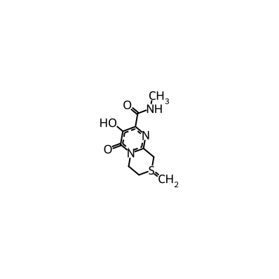 C=S1CCn2c(nc(C(=O)NC)c(O)c2=O)C1